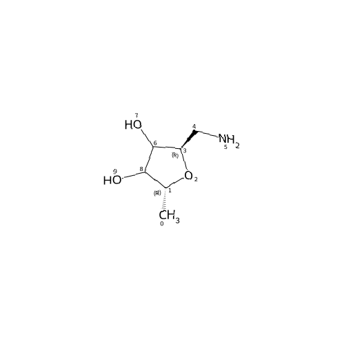 C[C@H]1O[C@H](CN)C(O)C1O